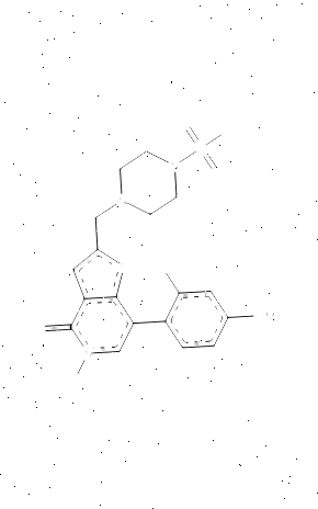 COc1ccc(-c2cn(C)c(=O)c3cc(CN4CCN(S(C)(=O)=O)CC4)sc23)c(C)c1